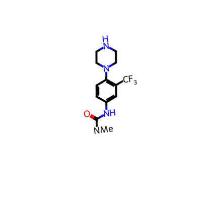 CNC(=O)Nc1ccc(N2CCNCC2)c(C(F)(F)F)c1